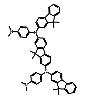 CN(C)c1ccc(N(c2ccc3c(c2)C(C)(C)c2ccccc2-3)c2ccc3c(c2)C(C)(C)c2cc(N(c4ccc(N(C)C)cc4)c4ccc5c(c4)C(C)(C)c4ccccc4-5)ccc2-3)cc1